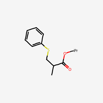 CC(C)OC(=O)C(C)CSc1ccccc1